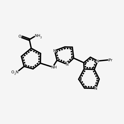 CC(C)n1cc(-c2ccnc(Nc3cc(C(N)=O)cc([N+](=O)[O-])c3)n2)c2ccncc21